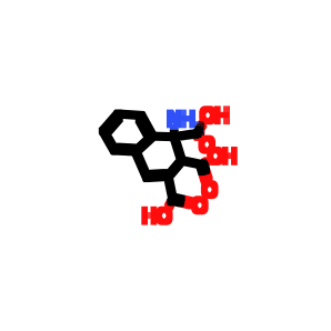 NC1(C(=O)O)c2ccccc2C=C(C(=O)O)C1C(=O)O